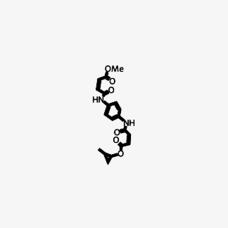 COC(=O)/C=C\C(=O)Nc1ccc(NC(=O)/C=C\C(=O)OC2CC2C)cc1